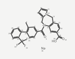 Cc1cc(C(=O)N2Cc3cccn3Cc3ccc(C(=O)O)cc32)ccc1-c1ccccc1C(F)(F)F.[Na]